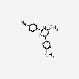 Cc1ccc(-c2cc(C)nc(-c3ccc(C#N)cc3)n2)cc1